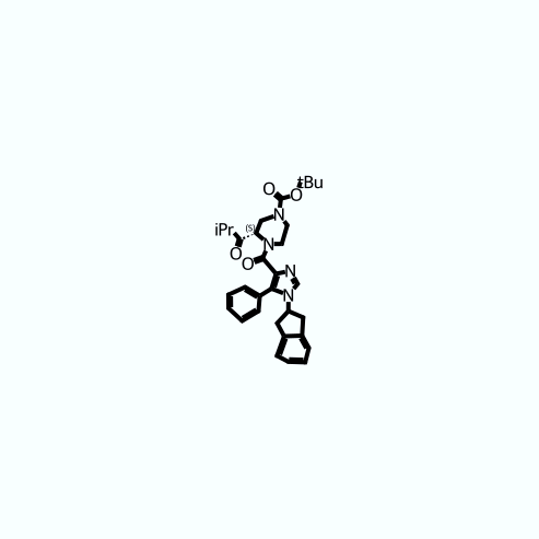 CC(C)C(=O)[C@@H]1CN(C(=O)OC(C)(C)C)CCN1C(=O)c1ncn(C2Cc3ccccc3C2)c1-c1ccccc1